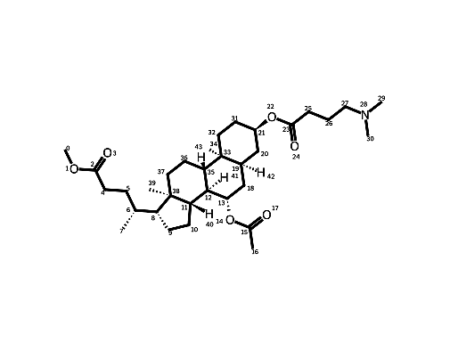 COC(=O)CC[C@@H](C)[C@H]1CC[C@H]2[C@@H]3[C@@H](OC(C)=O)C[C@@H]4C[C@H](OC(=O)CCCN(C)C)CC[C@]4(C)[C@H]3CC[C@]12C